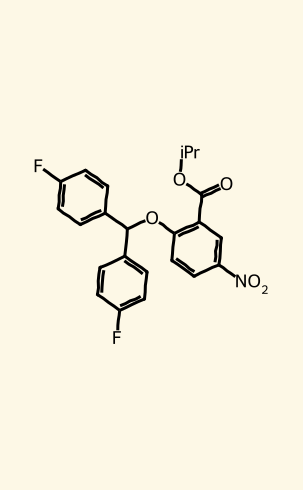 CC(C)OC(=O)c1cc([N+](=O)[O-])ccc1OC(c1ccc(F)cc1)c1ccc(F)cc1